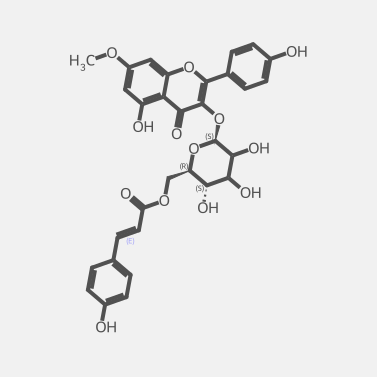 COc1cc(O)c2c(=O)c(O[C@@H]3O[C@H](COC(=O)/C=C/c4ccc(O)cc4)[C@@H](O)C(O)C3O)c(-c3ccc(O)cc3)oc2c1